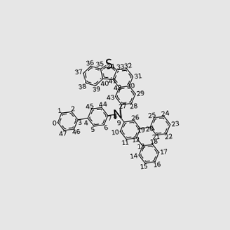 c1ccc(-c2ccc(N(c3ccc(-c4ccccc4)c(-c4ccccc4)c3)c3ccc4ccc5sc6ccccc6c5c4c3)cc2)cc1